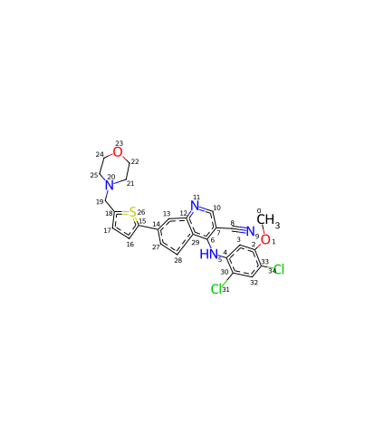 COc1cc(Nc2c(C#N)cnc3cc(-c4ccc(CN5CCOCC5)s4)ccc23)c(Cl)cc1Cl